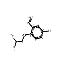 O=Cc1cc(F)ccc1OCC(F)F